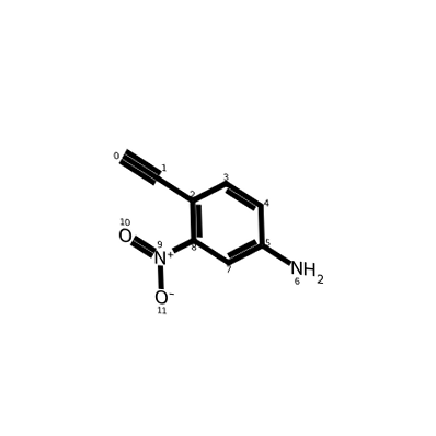 C#Cc1ccc(N)cc1[N+](=O)[O-]